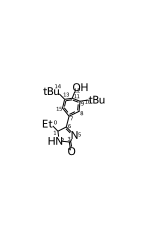 CCC1NC(=O)N=C1c1cc(C(C)(C)C)c(O)c(C(C)(C)C)c1